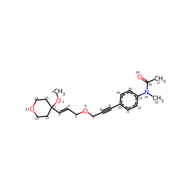 COC1(C=CCOCC#Cc2ccc(N(C)C(C)=O)cc2)CCOCC1